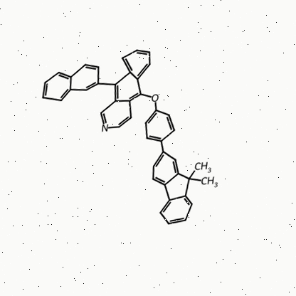 CC1(C)c2ccccc2-c2ccc(-c3ccc(Oc4c5ccccc5c(-c5ccc6ccccc6c5)c5cnccc45)cc3)cc21